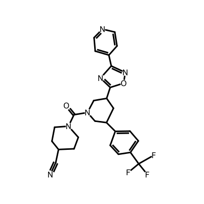 N#CC1CCN(C(=O)N2CC(c3ccc(C(F)(F)F)cc3)CC(c3nc(-c4ccncc4)no3)C2)CC1